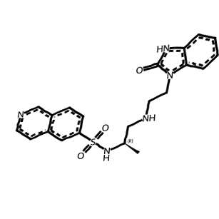 C[C@H](CNCCn1c(=O)[nH]c2ccccc21)NS(=O)(=O)c1ccc2cnccc2c1